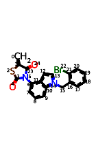 C=C1SC(=O)N(c2cccc3c2ccn3Cc2ccccc2Br)C1=O